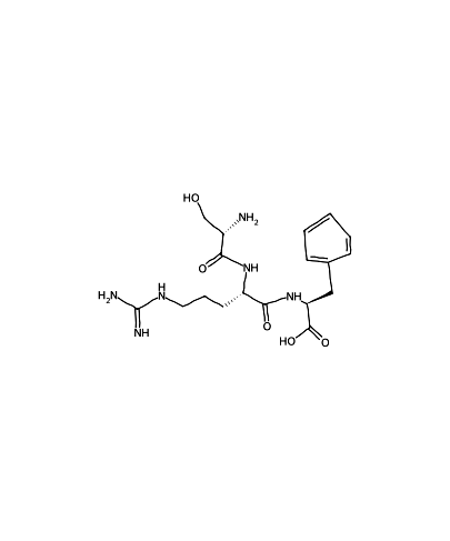 N=C(N)NCCC[C@H](NC(=O)[C@@H](N)CO)C(=O)N[C@@H](Cc1ccccc1)C(=O)O